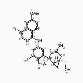 COc1cnc2c(Nc3cc(F)c(F)c([C@@]4(C)N=C(N)S[C@@]5(CO)C[C@H]54)c3)ncc(F)c2c1